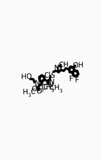 COC(=O)c1c(C)c2c(-c3c(CSCc4cc(CCc5cc(O)c6ccc(F)c(F)c6c5)n(C)n4)nn(C)c3C)c(Cl)ccc2n1CCCO